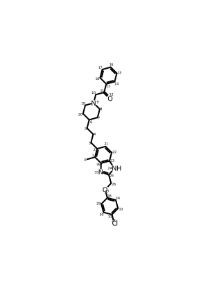 Cc1c(CCCC2CCN(CC(=O)c3ccccc3)CC2)ccc2[nH]c(COc3ccc(Cl)cc3)nc12